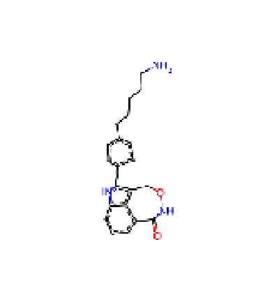 NCCCCCc1ccc(-c2[nH]c3cccc4c3c2CONC4=O)cc1